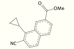 COC(=O)c1ccc2ccc(C#N)c(C3CC3)c2c1